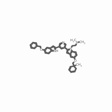 CN(C)CCn1c(-c2cncc(-c3cc4cc(OCc5ccccc5)ccc4[nH]3)c2)cc2cc(OCC3(C)C=CC=CC3)ccc21